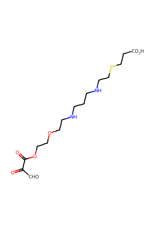 O=CC(=O)C(=O)OCCOCCNCCCNCCSCCC(=O)O